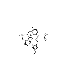 CCn1cc(CO[C@@H](c2ccc(C)c(CN3C[C@@H](C)Cc4ncccc4S3(=O)=O)c2)C(C)(C)C(=O)O)nn1